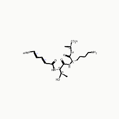 CCCCCCC/C=C/C=C/C(=O)N[C@H](C(=O)N[C@@H](CCCCN)C(=O)N[C@@H](C)C(=O)O)[C@@H](C)O